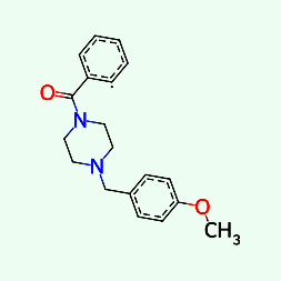 COc1ccc(CN2CCN(C(=O)c3[c]cccc3)CC2)cc1